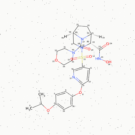 CC(C)Oc1ccc(Oc2ccc(S(=O)(=O)N3C[C@H]4CC[C@@H]([C@@H]3C(=O)NO)N4C(=O)N3CCOCC3)cn2)cc1